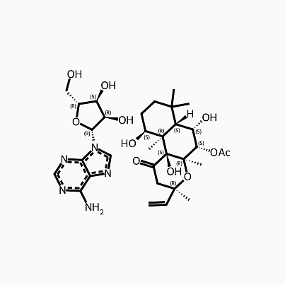 C=C[C@@]1(C)CC(=O)[C@]2(O)[C@@]3(C)[C@@H](O)CCC(C)(C)[C@@H]3[C@H](O)[C@H](OC(C)=O)[C@@]2(C)O1.Nc1ncnc2c1ncn2[C@@H]1O[C@H](CO)[C@@H](O)[C@H]1O